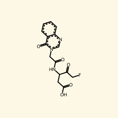 O=C(O)CC(NC(=O)Cn1cnc2ccccc2c1=O)C(=O)CF